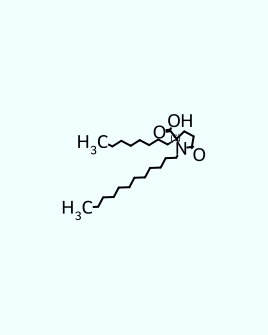 CCCCCCCCCCCCN1C(=O)CC[C@@]1(CCCCCCCC)C(=O)O